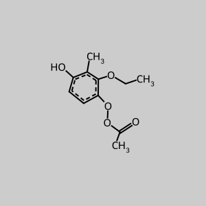 CCOc1c(OOC(C)=O)ccc(O)c1C